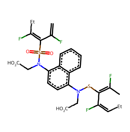 C=C(F)/C(=C(/F)CC)S(=O)(=O)N(CC(=O)O)c1ccc(N(CC(=O)O)SC(=C(/C)F)/C(F)=C\CC)c2ccccc12